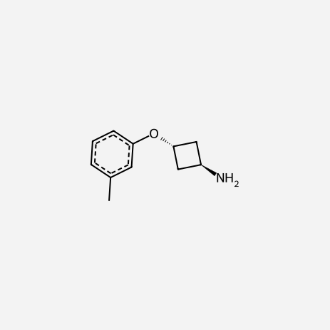 Cc1cccc(O[C@H]2C[C@H](N)C2)c1